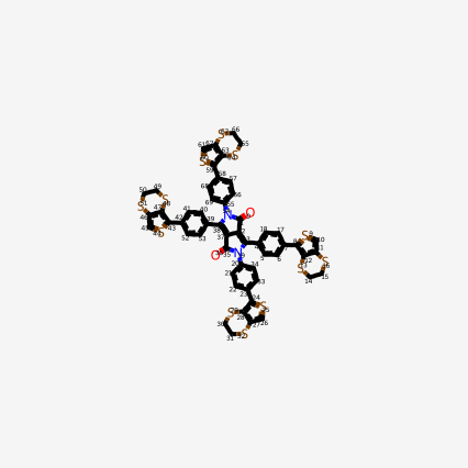 O=C1C2=C(c3ccc(-c4scc5c4SCCS5)cc3)N(c3ccc(-c4scc5c4SCCS5)cc3)C(=O)C2=C(c2ccc(-c3scc4c3SCCS4)cc2)N1c1ccc(-c2scc3c2SCCS3)cc1